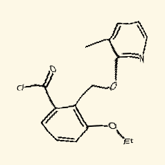 CCOc1cccc(C(=O)Cl)c1COc1ncccc1C